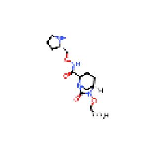 O=C(O)CON1C(=O)N2C[C@H]1CC[C@@H]2C(=O)NOC[C@@H]1CCCN1